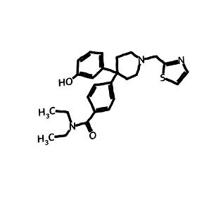 CCN(CC)C(=O)c1ccc(C2(c3cccc(O)c3)CCN(Cc3nccs3)CC2)cc1